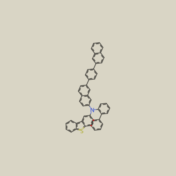 c1ccc(-c2ccccc2N(c2ccc3ccc(-c4ccc(-c5ccc6ccccc6c5)cc4)cc3c2)c2ccc3sc4ccccc4c3c2)cc1